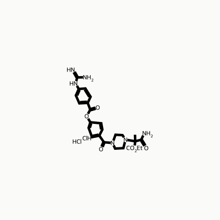 CCOC(=O)C(C)(C(N)=O)N1CCN(C(=O)c2ccc(OC(=O)c3ccc(NC(=N)N)cc3)cc2)CC1.Cl.Cl